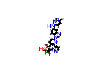 Cc1ccc(Nc2ccc3c(c2)ncn3-c2ccc(CCO)c(-c3ccnn3[C@H]3CC3(F)F)n2)nn1